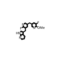 COc1ncc(Cc2[c]nc(F)c(Cc3c[nH]c4ncccc34)c2)cc1F